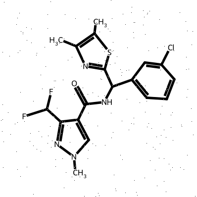 Cc1nc(C(NC(=O)c2cn(C)nc2C(F)F)c2cccc(Cl)c2)sc1C